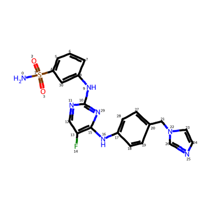 NS(=O)(=O)c1cccc(Nc2ncc(F)c(Nc3ccc(Cn4ccnc4)cc3)n2)c1